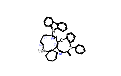 C=C1\C=C/C2=C(Cc3ccccc3N1c1ccccc1)/N=C(n1c3ccccc3c3ccccc31)\C=C/C=C/NC1=C2C=CCCC1